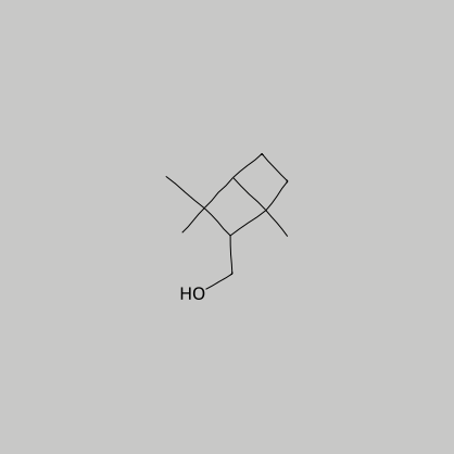 CC1(C)C(CO)C2(C)CCC12